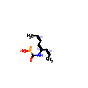 C\C=C/C=C(\C=C/C)NC(=O)PO